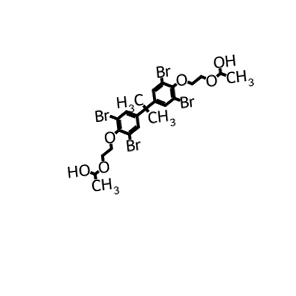 CC(O)OCCOc1c(Br)cc(C(C)(C)c2cc(Br)c(OCCOC(C)O)c(Br)c2)cc1Br